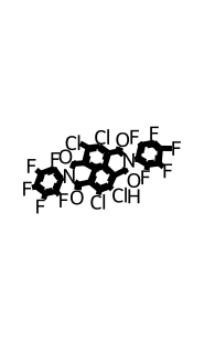 O=C1c2c(Cl)c(Cl)c3c4c(c(Cl)c(Cl)c(c24)C(=O)N1c1c(F)c(F)c(F)c(F)c1F)C(O)N(c1c(F)c(F)c(F)c(F)c1F)C3=O